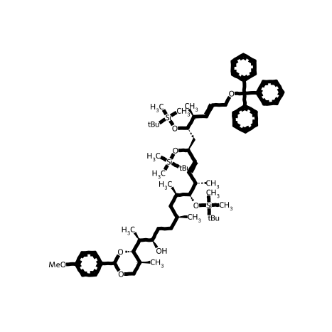 COc1ccc(C2OC[C@H](C)[C@@H]([C@@H](C)[C@H](O)CC[C@H](C)C[C@@H](C)[C@@H](O[Si](C)(C)C(C)(C)C)[C@@H](C)C=C[C@H](C[C@H](O[Si](C)(C)C(C)(C)C)[C@@H](C)C=CCOC(c3ccccc3)(c3ccccc3)c3ccccc3)O[Si](C)(C)C(C)(C)C)O2)cc1